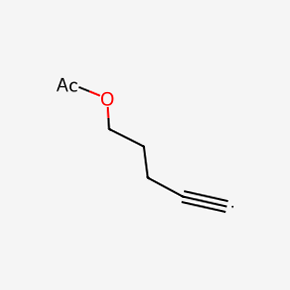 [C]#CCCCOC(C)=O